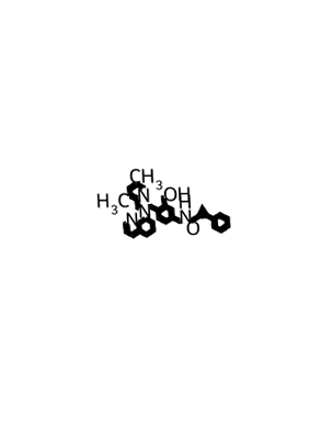 Cc1cnc(CN(Cc2ccc(CNC(=O)C3CC3c3ccccc3)cc2CO)C2CCCc3cccnc32)c(C)c1